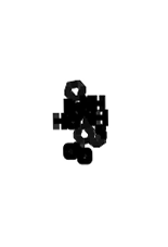 O=C(NC1=C2SCC=C2C(=S(=O)=O)C=C1O)Nc1ccccc1Br